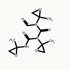 CC1(NC(=O)N(C(=O)N(C=O)C2(C)CO2)C2(C)CO2)CO1